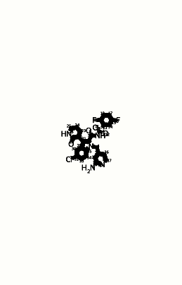 Nc1cc(Cn2c(C(=O)NS(=O)(=O)c3cc(F)ccc3F)c(-c3ccc[nH]c3=O)c3cc(Cl)ccc32)ccn1